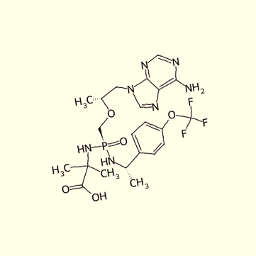 C[C@H](Cn1cnc2c(N)ncnc21)OC[P@@](=O)(N[C@@H](C)c1ccc(OC(F)(F)F)cc1)NC(C)(C)C(=O)O